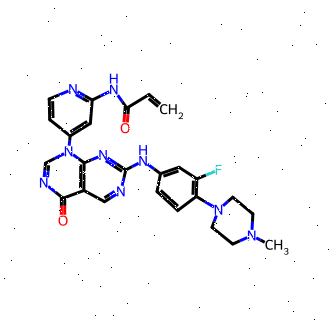 C=CC(=O)Nc1cc(-n2cnc(=O)c3cnc(Nc4ccc(N5CCN(C)CC5)c(F)c4)nc32)ccn1